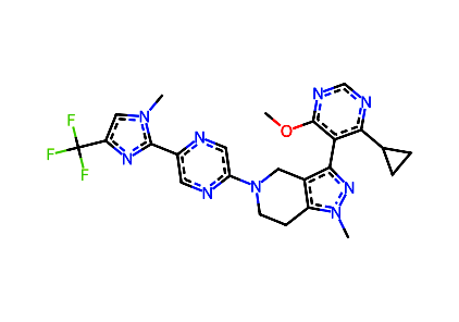 COc1ncnc(C2CC2)c1-c1nn(C)c2c1CN(c1cnc(-c3nc(C(F)(F)F)cn3C)cn1)CC2